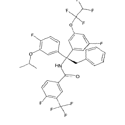 CC(C)Oc1cc([C@@](Cc2ccccc2)(NC(=O)c2ccc(F)c(C(F)(F)F)c2)c2cc(F)cc(OC(F)(F)C(F)F)c2)ccc1F